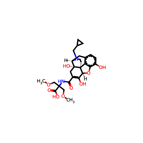 COCC(COC)(NC(=O)C1=C(O)[C@@H]2Oc3c(O)ccc4c3[C@@]23CCN(CC2CC2)[C@H](C4)[C@]3(O)C1)C(=O)O